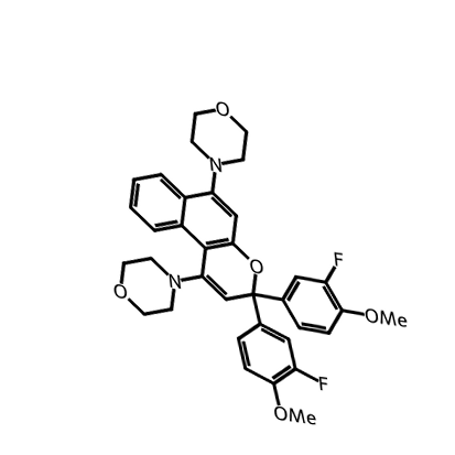 COc1ccc(C2(c3ccc(OC)c(F)c3)C=C(N3CCOCC3)c3c(cc(N4CCOCC4)c4ccccc34)O2)cc1F